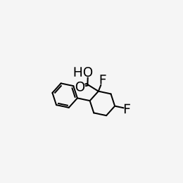 O=C(O)C1(F)CC(F)CCC1c1ccccc1